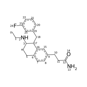 CCNC1CCc2ccc(CCC(N)=O)cc2C1Cc1cccc(F)c1